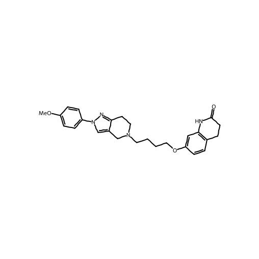 COc1ccc(-n2cc3c(n2)CCN(CCCCOc2ccc4c(c2)NC(=O)CC4)C3)cc1